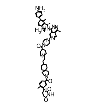 Cc1ccc(C(=O)N2CCC3(CCC(CCN4CCC(C(=O)N5CCN(c6cc7c(N[C@H](C)c8c(N)ccc(-c9ccc(N)cc9)c8C)nnc(C)c7cn6)CC5)CC4)CC3)CC2)cc1N1CCC(=O)NC1=O